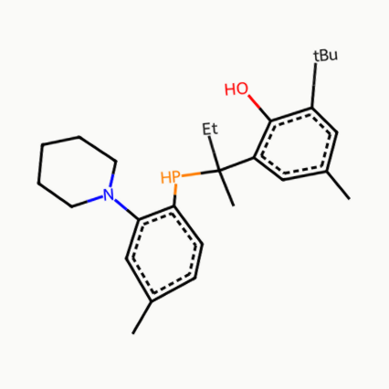 CCC(C)(Pc1ccc(C)cc1N1CCCCC1)c1cc(C)cc(C(C)(C)C)c1O